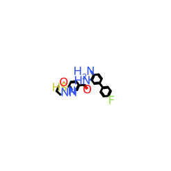 Nc1ccc(-c2ccc(F)cc2)cc1NC(=O)c1ccc([SH]2(=O)CCCN2)nc1